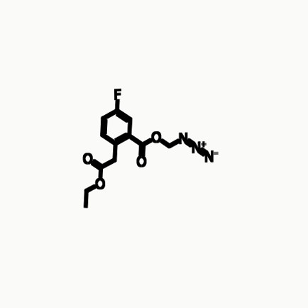 CCOC(=O)Cc1ccc(F)cc1C(=O)OCN=[N+]=[N-]